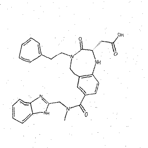 CN(Cc1nc2ccccc2[nH]1)C(=O)c1ccc2c(c1)CN(CCc1ccccc1)C(=O)[C@H](CC(=O)O)N2